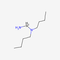 CCCCN(CCCC)[SiH2]N